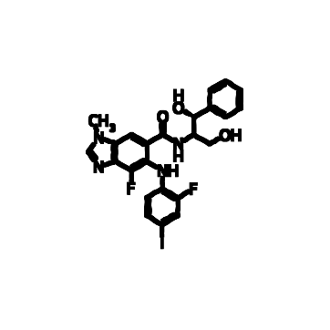 Cn1cnc2c(F)c(Nc3ccc(I)cc3F)c(C(=O)NC(CO)[C@@H](O)c3ccccc3)cc21